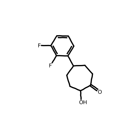 O=C1CCC(c2cccc(F)c2F)CCC1O